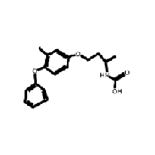 Cc1cc(OCCC(C)NC(=O)O)ccc1Oc1ccccc1